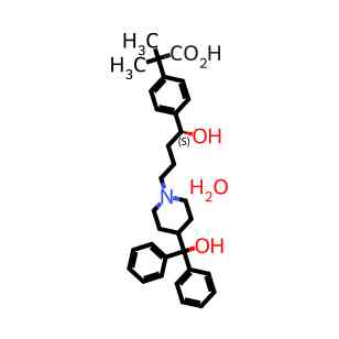 CC(C)(C(=O)O)c1ccc([C@@H](O)CCCN2CCC(C(O)(c3ccccc3)c3ccccc3)CC2)cc1.O